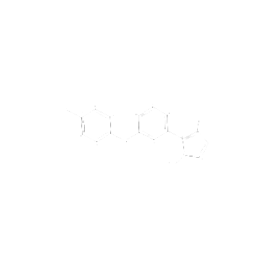 Cn1ncc(F)c1-c1cccc(Nc2ccc(Cl)cc2)c1